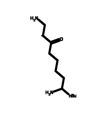 CCCCC(N)CCCCC(=O)[CH]CN